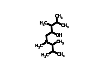 CC(C)C(C)C(O)CN(C)C(C)C(C)C